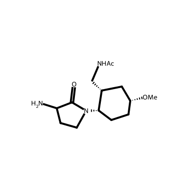 CO[C@@H]1CC[C@H](N2CCC(N)C2=O)[C@H](CNC(C)=O)C1